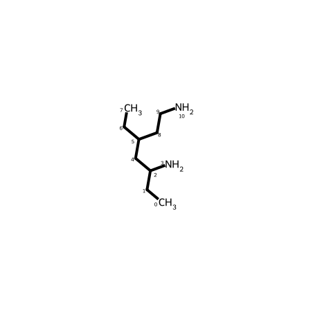 CCC(N)CC(CC)CCN